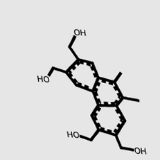 Cc1c(C)c2cc(CO)c(CO)cc2c2cc(CO)c(CO)cc12